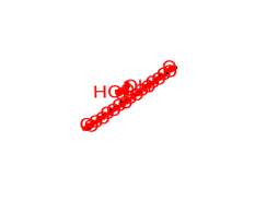 C=C(C)C(=O)OCCOCCOCCOCCOCCOCCOCCOCCOCCOCCOCCOCCOCCOCCOC(=O)C(=C)C.CC(O)COC(C)COC(C)CO